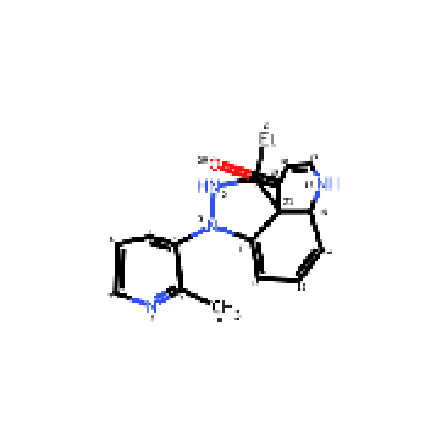 CCC1NN(c2cccnc2C)C2=CC=CC3NC=CC(=O)C231